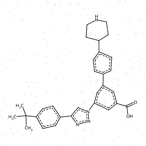 CC(C)(C)c1ccc(-c2cn(-c3cc(C(=O)O)cc(-c4ccc(C5CCNCC5)cc4)c3)nn2)cc1